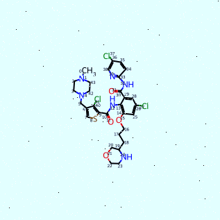 CN1CCN(Cc2csc(C(=O)Nc3c(OCCCC4COCCN4)cc(Cl)cc3C(=O)Nc3ccc(Cl)cn3)c2Cl)CC1